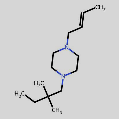 [CH2]CC(C)(C)CN1CCN(CC=CC)CC1